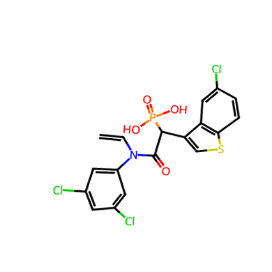 C=CN(C(=O)C(c1csc2ccc(Cl)cc12)P(=O)(O)O)c1cc(Cl)cc(Cl)c1